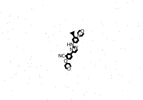 N#Cc1cc(-c2ccnc(Nc3ccc(N4CCOCC4)c(C4CC4)c3)n2)ccc1OC1CCOCC1